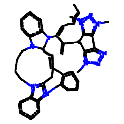 C=C(/C(=C\C=C/C)N1c2ccccc2N2CCCC[n+]3c4n(c5ccccc53)-c3ccccc3C(=CC21)C4)C1c2c(nnn2C)-c2c1n(C)n[n+]2C